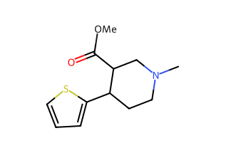 COC(=O)C1CN(C)CCC1c1cccs1